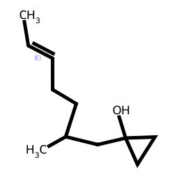 C/C=C/CCC(C)CC1(O)CC1